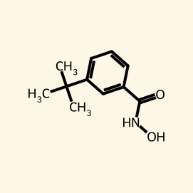 CC(C)(C)c1cccc(C(=O)NO)c1